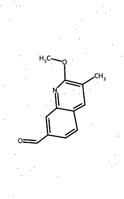 COc1nc2cc(C=O)ccc2cc1C